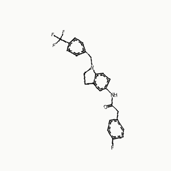 O=C(Cc1ccc(F)cc1)Nc1ccc2c(c1)CCN2Cc1ccc(C(F)(F)F)cc1